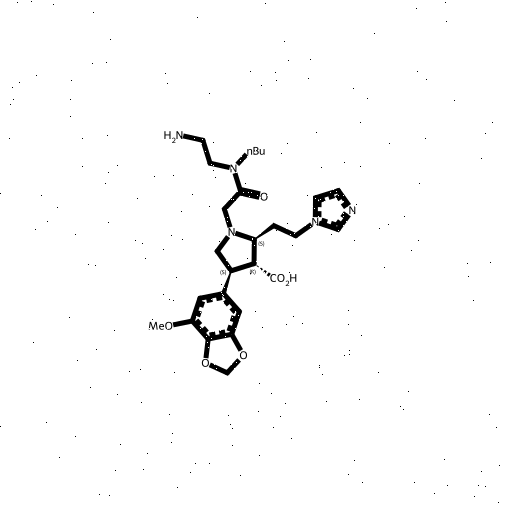 CCCCN(CCN)C(=O)CN1C[C@H](c2cc(OC)c3c(c2)OCO3)[C@@H](C(=O)O)[C@@H]1CCn1ccnc1